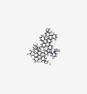 Cc1cccc(-c2ccccc2-c2cc(-c3ccc4c(c3)c3cc(-c5cc(-c6ccccc6-c6cccc(C(F)(F)F)c6)cc(-c6ccccc6-c6cccc(C(F)(F)F)c6)c5)ccc3n4-c3ccccc3C(C)(C)C)cc(-c3ccccc3-c3cccc(C(F)(F)F)c3)c2)c1